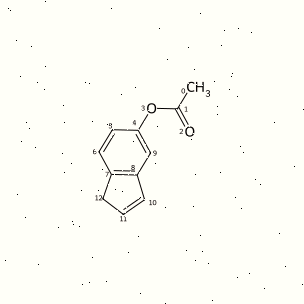 CC(=O)Oc1ccc2c(c1)C=CC2